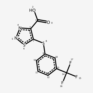 O=C(O)c1nnsc1Sc1cccc(C(F)(F)F)c1